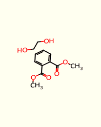 COC(=O)c1ccccc1C(=O)OC.OCCO